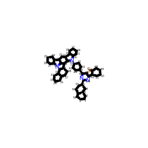 c1ccc2cc(-c3nc(-c4ccc(-n5c6ccccc6c6cc7c8ccccc8n8c9c%10ccccc%10ccc9c(c65)c78)cc4)c4sc5ccccc5c4n3)ccc2c1